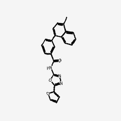 Cc1ccc(-c2cccc(C(=O)Nc3nnc(-c4ccco4)o3)c2)c2ccccc12